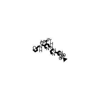 CC(C)Nc1cc(Nc2ccnc(-c3cnn(S(=O)(=O)C4CC4)c3)n2)ncc1C(=O)NCC1CCCO1